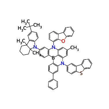 Cc1cc2c3c(c1)N(c1cccc4c1oc1ccccc14)c1cc(N4c5ccc(C(C)(C)C)cc5C5(C)CCCCC45C)ccc1B3c1ccc(-c3ccccc3)cc1N2c1ccc2sc3ccccc3c2c1